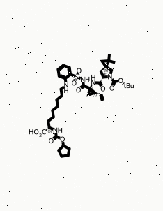 C=C[C@@H]1C[C@]1(NC(=O)[C@@H]1C[C@@]2(CN1C(=O)OC(C)(C)C)CC2(C)C)C(=O)NS(=O)(=O)c1ccccc1NCCCCCCC[C@H](NC(=O)OC1CCCC1)C(=O)O